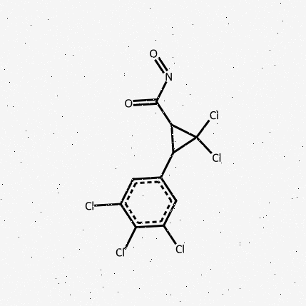 O=NC(=O)C1C(c2cc(Cl)c(Cl)c(Cl)c2)C1(Cl)Cl